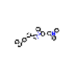 C1=CC2C(C=C1c1ccc3c(c1)c1ccccc1n3-c1cc(-c3cccc(-c4ccc(-c5cccc6ccccc56)cc4)c3)ccn1)c1ccccc1N2c1ccccc1